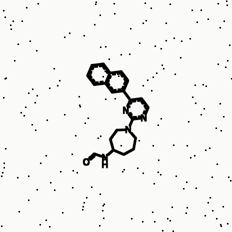 O=CNC1CCCN(c2nccc(-c3ccc4ccccc4c3)n2)CC1